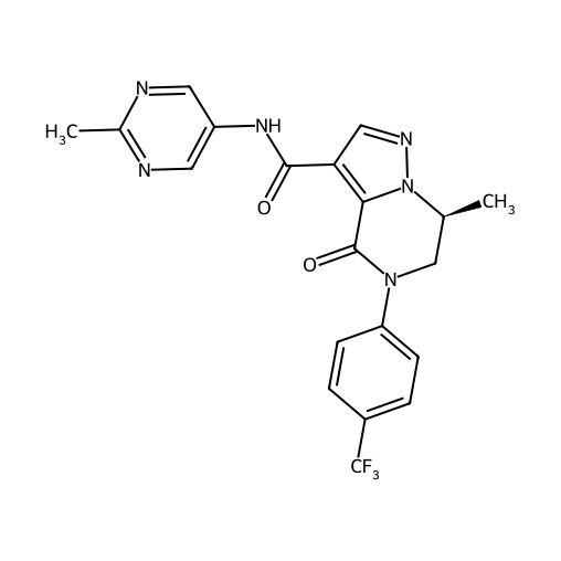 Cc1ncc(NC(=O)c2cnn3c2C(=O)N(c2ccc(C(F)(F)F)cc2)C[C@@H]3C)cn1